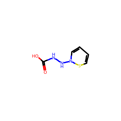 O=C(O)NNN1C=CC=CS1